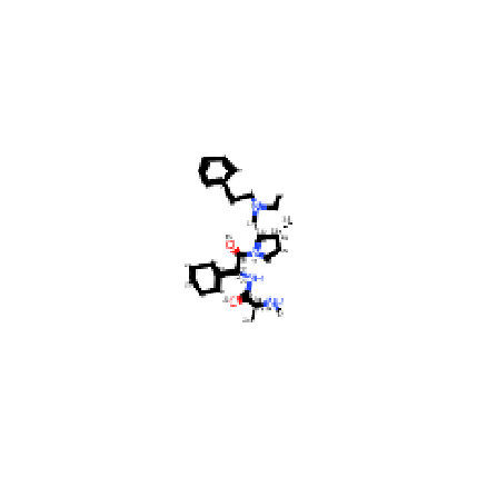 CCN(CCc1ccccc1)C[C@@H]1[C@H](C)CCN1C(=O)[C@@H](NC(=O)[C@H](C)NC)C1CCCCC1